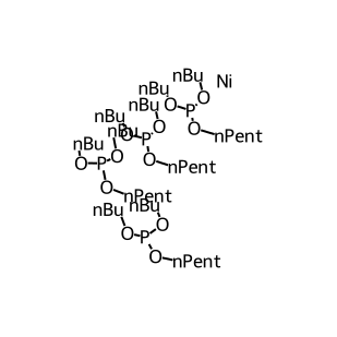 CCCCCOP(OCCCC)OCCCC.CCCCCOP(OCCCC)OCCCC.CCCCCOP(OCCCC)OCCCC.CCCCCOP(OCCCC)OCCCC.[Ni]